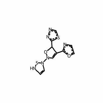 [C]1=C(c2ncco2)C(c2nncs2)ON1N1C=CNS1